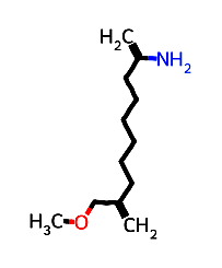 C=C(N)CCCCCCC(=C)COC